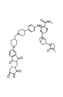 CN1CCN(C2CC3CC2N(c2cnc(C(N)=O)c(Nc4ccc(C5CCN(CC6CCN(c7ccc8c(c7)C(=O)C(CC7CCC(=O)NC7=O)C8=O)CC6)CC5)cc4)n2)C3)C1=O